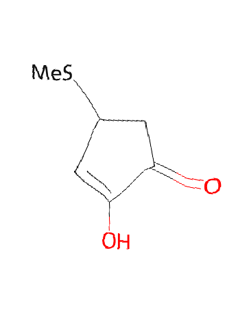 CSC1C=C(O)C(=O)C1